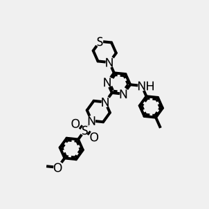 COc1ccc(S(=O)(=O)N2CCN(c3nc(Nc4ccc(C)cc4)cc(N4CCSCC4)n3)CC2)cc1